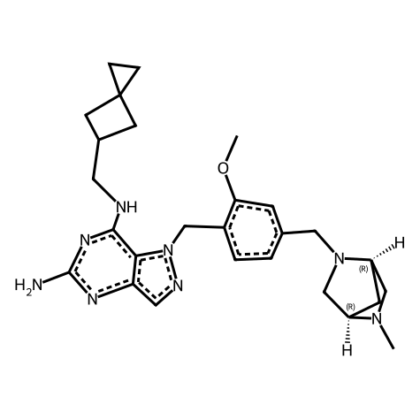 COc1cc(CN2C[C@H]3C[C@@H]2CN3C)ccc1Cn1ncc2nc(N)nc(NCC3CC4(CC4)C3)c21